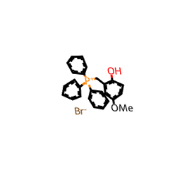 COc1ccc(O)c(C[P+](c2ccccc2)(c2ccccc2)c2ccccc2)c1.[Br-]